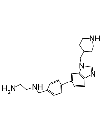 NCCNCc1ccc(-c2ccc3ncn(CC4CCNCC4)c3c2)cc1